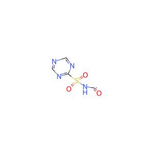 O=[C]NS(=O)(=O)c1ncncn1